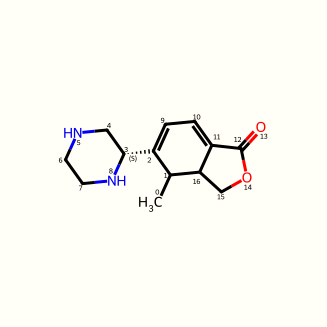 CC1C([C@H]2CNCCN2)=CC=C2C(=O)OCC21